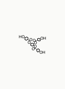 O=C(Oc1ccc(OC(=O)c2ccc(O)cc2)c(OC(=O)c2ccc(O)cc2)c1)c1ccc(O)cc1